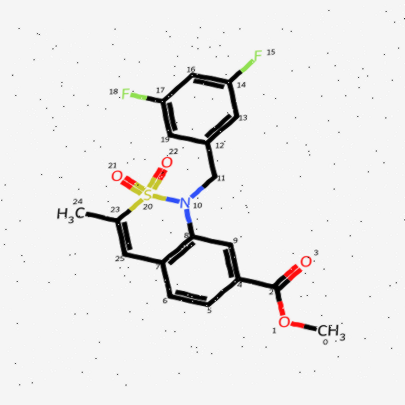 COC(=O)c1ccc2c(c1)N(Cc1cc(F)cc(F)c1)S(=O)(=O)C(C)=C2